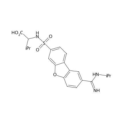 CC(C)NC(=N)c1ccc2oc3cc(S(=O)(=O)NC(C(=O)O)C(C)C)ccc3c2c1